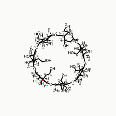 OCC[C@H]1O[C@@H]2O[C@H]3[C@H](O)[C@@H](O)[C@@H](O[C@H]4[C@H](O)C[C@@H](O[C@H]5[C@H](O)[C@@H](O)[C@@H](O[C@H]6[C@H](O)[C@@H](O)[C@@H](O[C@H]7[C@H](O)[C@@H](O)[C@H](O[C@@H]7CO)O[C@H]7C(O)[C@@H](O)[C@@H](O[C@H]1[C@H](O)[C@H]2O)O[C@@H]7CCO)O[C@@H]6CO)O[C@@H]5CO)O[C@@H]4CO)O[C@@H]3CO